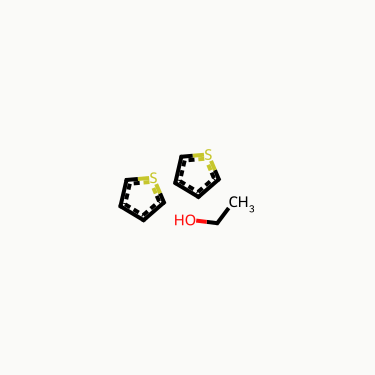 CCO.c1ccsc1.c1ccsc1